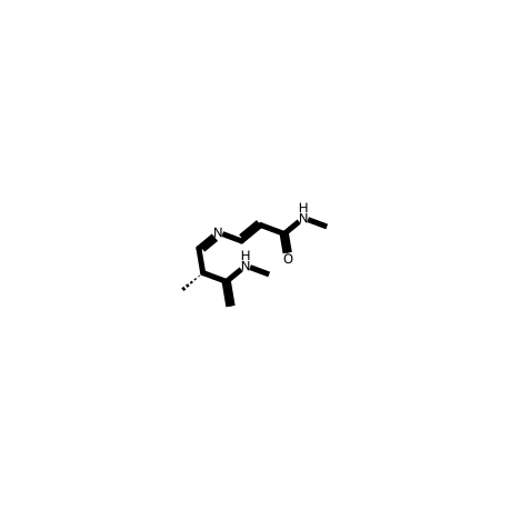 C=C(NC)[C@H](C)/C=N\C=C\C(=O)NC